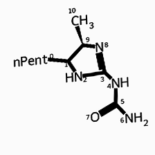 CCCCCC1NC(NC(N)=O)=N[C@@H]1C